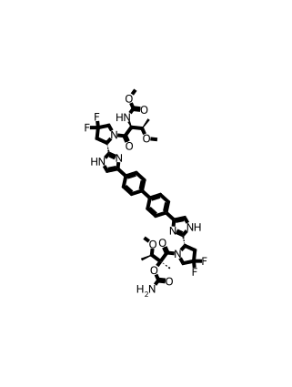 COC(=O)N[C@H](C(=O)N1CC(F)(F)C[C@H]1c1nc(-c2ccc(-c3ccc(-c4c[nH]c([C@@H]5CC(F)(F)CN5C(=O)[C@@](C)(OC(N)=O)[C@@H](C)OC)n4)cc3)cc2)c[nH]1)[C@@H](C)OC